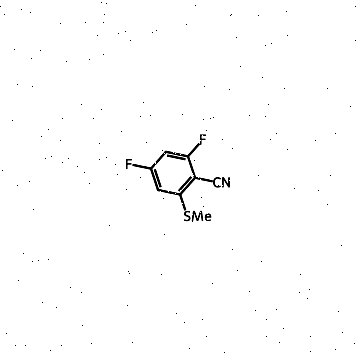 CSc1cc(F)cc(F)c1C#N